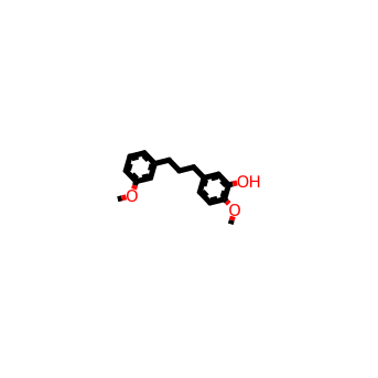 COc1cccc(CCCc2ccc(OC)c(O)c2)c1